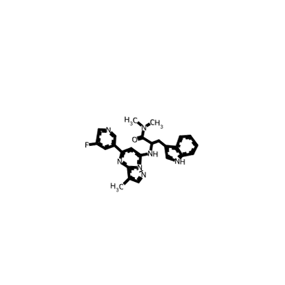 Cc1cnn2c(NC(Cc3c[nH]c4ccccc34)C(=O)N(C)C)cc(-c3cncc(F)c3)nc12